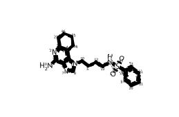 Nc1nc2c(c3c1ncn3CCCCNS(=O)(=O)c1ccccc1)CCCC2